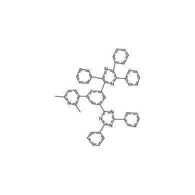 Cc1ccc(-c2cc(-c3nc(-c4ccccc4)nc(-c4ccccc4)n3)cc(-c3nc(-c4ccccc4)c(-c4ccccc4)nc3-c3ccccc3)c2)c(C)n1